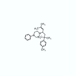 CC(C)=CC(CC(C)(C)c1ccc(C)cc1)N1CCN(c2ccccc2)CC1